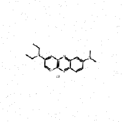 CCN(CC)C1=Cc2nc3cc(N(C)C)ccc3nc2[C+]=C1.[Cl-]